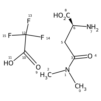 CN(C)C(=O)C[C@H](N)C(=O)O.O=C(O)C(F)(F)F